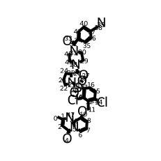 Cc1cc(=O)n2cccc(OCc3c(Cl)ccc(S(=O)(=O)N4CCC[C@H]4C(=O)N4CCN(C(=O)c5ccc(C#N)cc5)CC4)c3Cl)c2n1